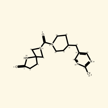 O=C1CCC2(CN(C(=O)N3CCC(Cc4cnc(C(F)(F)F)nc4)CC3)C2)N1